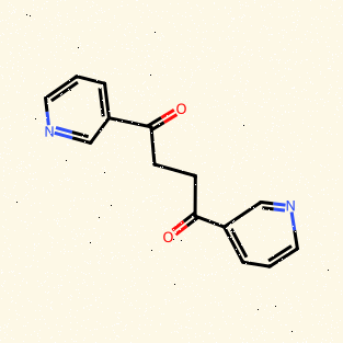 O=C(CCC(=O)c1cccnc1)c1cccnc1